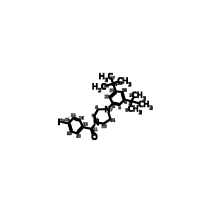 CC(C)(C)c1cc(N2CCN(C(=O)c3ccc(F)cc3)CC2)cc(C(C)(C)C)c1